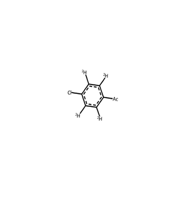 [2H]c1c([2H])c(C(C)=O)c([2H])c([2H])c1Cl